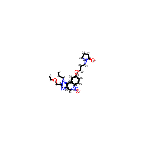 CCCn1c(COCC)nc2c[n+]([O-])c3ccc(OCCCN4CCCC4=O)cc3c21